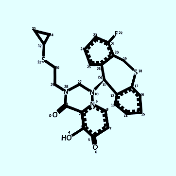 O=C1c2c(O)c(=O)ccn2N([C@@H]2c3ccccc3SCc3c(F)cccc32)CN1CCSC1CC1